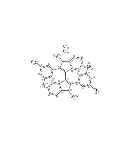 CC1C(c2cc(C(F)(F)F)cc(C(F)(F)F)c2)=C(C2=C(c3cc(C(F)(F)F)cc(C(F)(F)F)c3)[CH]([Zr+2])c3ccccc32)c2ccccc21.[Cl-].[Cl-]